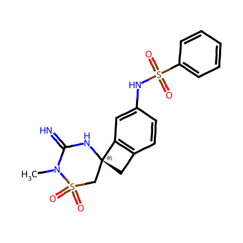 CN1C(=N)N[C@@]2(Cc3ccc(NS(=O)(=O)c4ccccc4)cc32)CS1(=O)=O